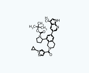 Cc1c[nH]c2ncc(-c3cc4c(c(C5CCCN5C(=O)OC(C)(C)C)c3)CN(C(=O)c3cnn(C5CC5)c3)CC4)cc12